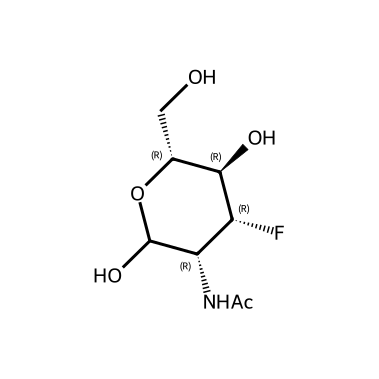 CC(=O)N[C@@H]1C(O)O[C@H](CO)[C@@H](O)[C@@H]1F